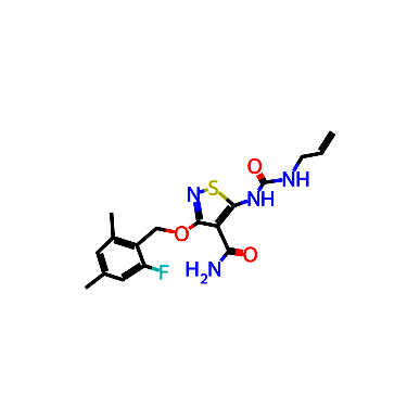 C=CCNC(=O)Nc1snc(OCc2c(C)cc(C)cc2F)c1C(N)=O